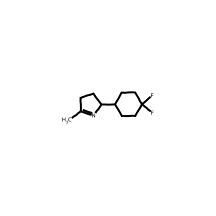 CC1=NC(C2CCC(F)(F)CC2)CC1